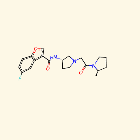 C[C@@H]1CCCN1C(=O)CN1CC[C@H](NC(=O)c2coc3ccc(F)cc23)C1